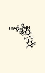 O=C(Nc1cc(F)c(F)c(F)c1)c1ccc2c(c1)S(=O)(=O)N(C1CC(O)C1)C(=O)N2